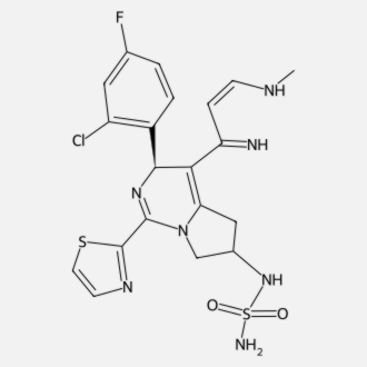 CN/C=C\C(=N)C1=C2CC(NS(N)(=O)=O)CN2C(c2nccs2)=N[C@H]1c1ccc(F)cc1Cl